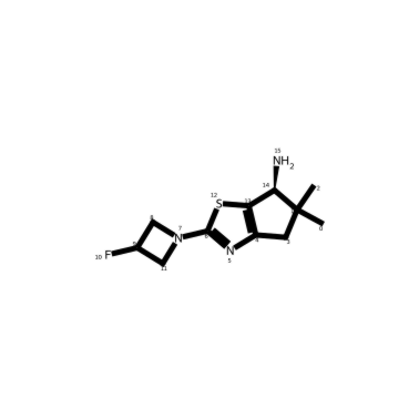 CC1(C)Cc2nc(N3CC(F)C3)sc2[C@H]1N